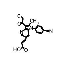 Cc1c(C(=O)CCl)c2ncc(C=CC(=O)O)cc2n1-c1ccc(C#N)cc1